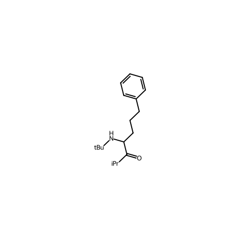 CC(C)C(=O)C(CCCc1ccccc1)NC(C)(C)C